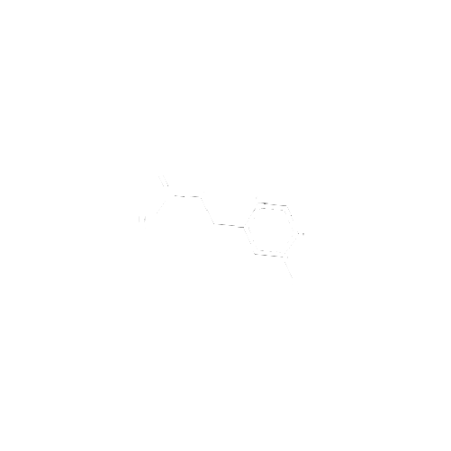 O=[PH](O)CCc1cccc(C(F)(F)F)c1